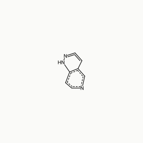 C1=Cc2cnccc2NN=1